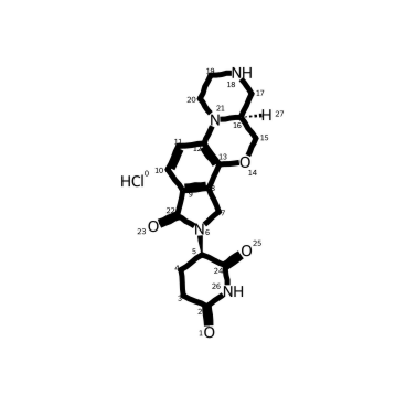 Cl.O=C1CC[C@@H](N2Cc3c(ccc4c3OC[C@@H]3CNCCN43)C2=O)C(=O)N1